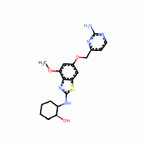 COc1cc(OCc2ccnc(N)n2)cc2sc(NC3CCCC[C@@H]3O)nc12